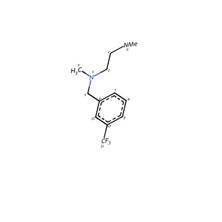 CNCCN(C)Cc1cccc(C(F)(F)F)c1